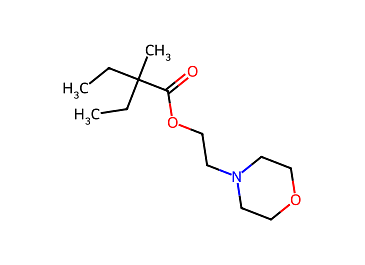 CCC(C)(CC)C(=O)OCCN1CCOCC1